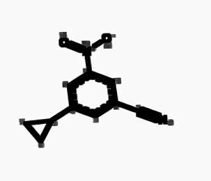 N#Cc1cc(C2CC2)cc([N+](=O)[O-])c1